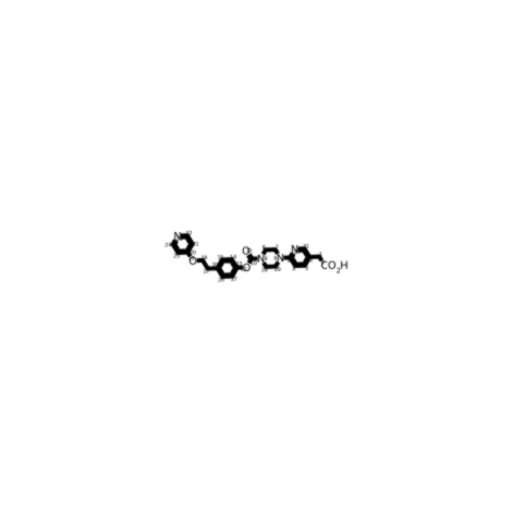 O=C(O)Cc1ccc(N2CCN(C(=O)Oc3ccc(CCOc4ccncc4)cc3)CC2)nc1